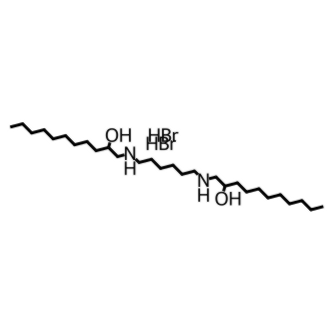 Br.Br.CCCCCCCCCC(O)CNCCCCCCNCC(O)CCCCCCCCC